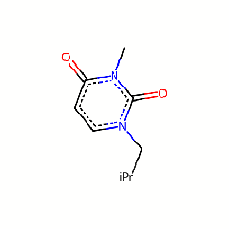 CC(C)Cn1ccc(=O)n(C)c1=O